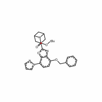 CC(C)(C)OC(=O)N1C2CC1CN(c1nc3c(OCc4ccccc4)ccc(-n4cccn4)c3o1)C2